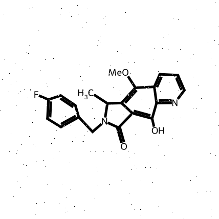 COc1c2c(c(O)c3ncccc13)C(=O)N(Cc1ccc(F)cc1)C2C